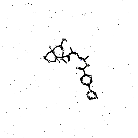 C=C(/C(F)=C\C=C(/C)NC(=O)c1cnc(-n2cncn2)cn1)[C@@]1(CF)N=C(N)O[C@@H]2C[C@@H](C)OC[C@@H]21